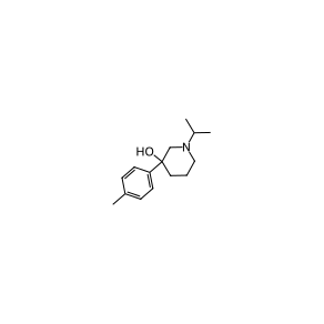 Cc1ccc(C2(O)CCCN(C(C)C)C2)cc1